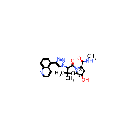 CNC(=O)[C@H]1CC(O)CN1C(=O)C(n1cc(-c2cccc3ncccc23)nn1)C(C)(C)C